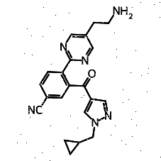 N#Cc1ccc(-c2ncc(CCN)cn2)c(C(=O)c2cnn(CC3CC3)c2)c1